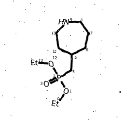 CCOP(=O)(CC1CCCNCC1)OCC